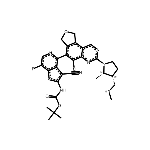 CNC[C@H]1CCN(c2ncc3c4c(c(-c5ncc(F)c6sc(NC(=O)OC(C)(C)C)c(C#N)c56)c(Cl)c3n2)COC4)[C@H]1C